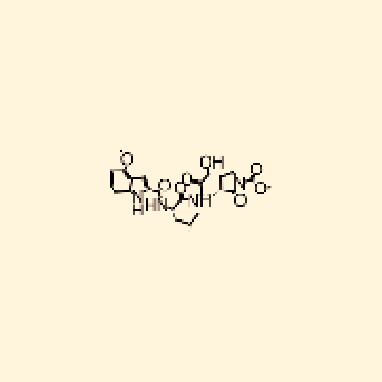 COC(=O)N1CC[C@@H](C[C@H](NC(=O)[C@H](CC(C)C)NC(=O)c2cc3c(OC)cccc3[nH]2)C(=O)CO)C1=O